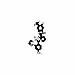 Cc1ccc(C(=O)N2CCC[C@@]2(C)c2nc3cc(C(F)(F)F)c(Cl)cc3[nH]2)c(-n2nccn2)c1